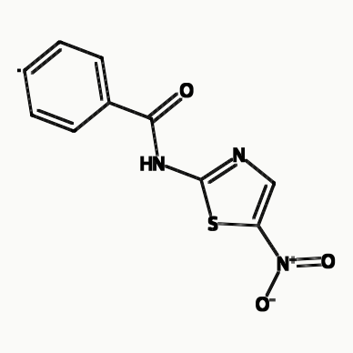 O=C(Nc1ncc([N+](=O)[O-])s1)c1cc[c]cc1